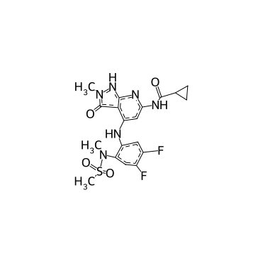 CN(c1cc(F)c(F)cc1Nc1cc(NC(=O)C2CC2)nc2[nH]n(C)c(=O)c12)S(C)(=O)=O